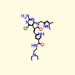 CCN(CC)CCNC(=O)c1c[nH]c(C=C2C(=O)N(Cc3cc(C)n(C)n3)c3nc(N)nc(Cl)c32)c1